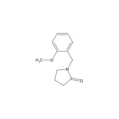 COc1ccccc1CN1CCCC1=O